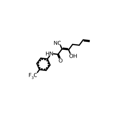 C=CCC/C(O)=C(\C#N)C(=O)Nc1ccc(C(F)(F)F)cc1